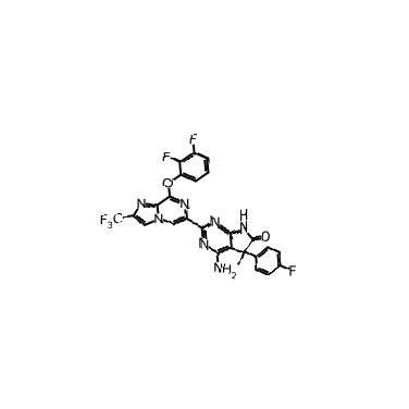 CC1(c2ccc(F)cc2)C(=O)Nc2nc(-c3cn4cc(C(F)(F)F)nc4c(Oc4cccc(F)c4F)n3)nc(N)c21